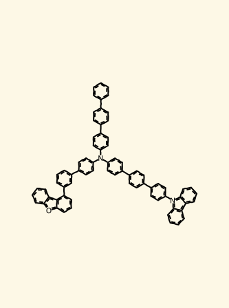 c1ccc(-c2ccc(-c3ccc(N(c4ccc(-c5ccc(-c6ccc(-n7c8ccccc8c8ccccc87)cc6)cc5)cc4)c4ccc(-c5cccc(-c6cccc7oc8ccccc8c67)c5)cc4)cc3)cc2)cc1